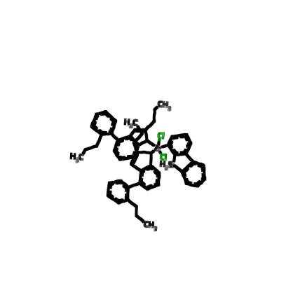 CCCC1=Cc2c(-c3ccccc3CCC)cccc2[CH]1[Zr]([Cl])([Cl])([c]1cccc2c1[SiH2]c1ccccc1-2)[CH]1C(CCC)=Cc2c(-c3ccccc3CCC)cccc21